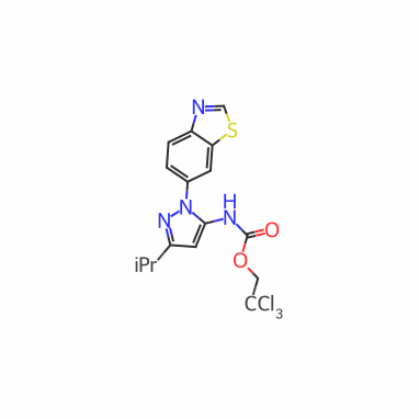 CC(C)c1cc(NC(=O)OCC(Cl)(Cl)Cl)n(-c2ccc3ncsc3c2)n1